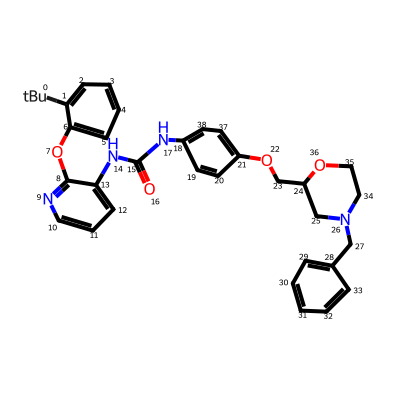 CC(C)(C)c1ccccc1Oc1ncccc1NC(=O)Nc1ccc(OCC2CN(Cc3ccccc3)CCO2)cc1